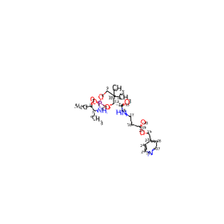 COC(=O)[C@H](C)N[P@@]1(=O)OCC(C)(C)[C@H](C(=O)NCCC(=O)OCc2ccncc2)O1